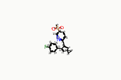 CS(=O)(=O)c1ccc(C2=CC3(C=C2c2ccc(F)cc2)CC3)nc1